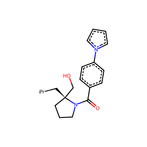 CC(C)C[C@]1(CO)CCCN1C(=O)c1ccc(-n2cccc2)cc1